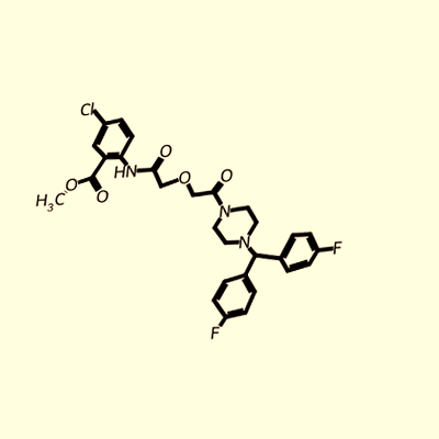 COC(=O)c1cc(Cl)ccc1NC(=O)COCC(=O)N1CCN(C(c2ccc(F)cc2)c2ccc(F)cc2)CC1